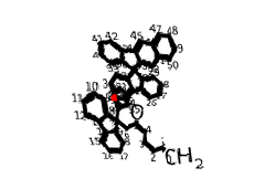 C=C/C=C\C=C1/CC2(c3ccccc3-c3ccccc32)c2cccc(-c3ccccc3C3(c4ccccc4)c4ccccc4-c4cc5ccccc5cc43)c2O1